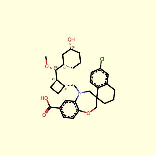 CO[C@H]([C@H]1CCC[C@@H](O)C1)[C@@H]1CC[C@H]1CN1CC2(CCCc3cc(Cl)ccc32)COc2ccc(C(=O)O)cc21